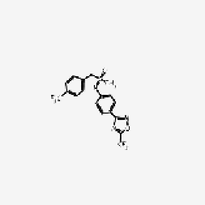 CS(=O)(Cc1ccc(C(F)(F)F)cc1)=Nc1ccc(-c2noc(C(F)(F)F)n2)cc1